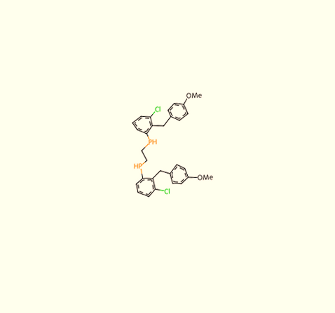 COc1ccc(Cc2c(Cl)cccc2PCCPc2cccc(Cl)c2Cc2ccc(OC)cc2)cc1